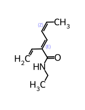 C=C/C(=C\C=C/C)C(=O)NCC